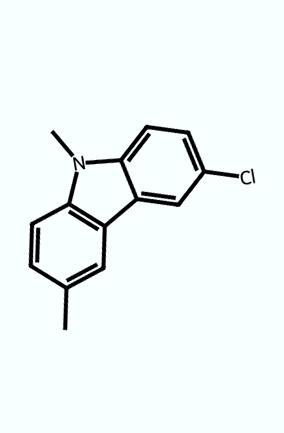 Cc1ccc2c(c1)c1cc(Cl)ccc1n2C